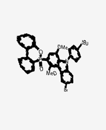 COc1c(P2(=O)Oc3ccccc3-c3ccccc32)cc(OC)c2c1c1cc(Br)ccc1n2-c1ccc(C(C)(C)C)cc1